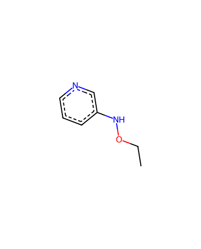 CCONc1cccnc1